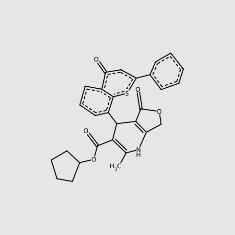 CC1=C(C(=O)OC2CCCC2)C(c2cccc3c(=O)cc(-c4ccccc4)sc23)C2=C(COC2=O)N1